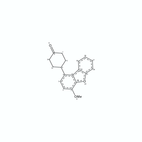 COc1ccc(C2CCC(=O)CC2)c2c1oc1ccccc12